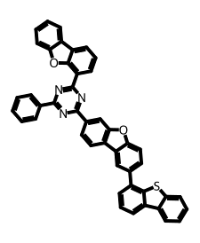 c1ccc(-c2nc(-c3ccc4c(c3)oc3ccc(-c5cccc6c5sc5ccccc56)cc34)nc(-c3cccc4c3oc3ccccc34)n2)cc1